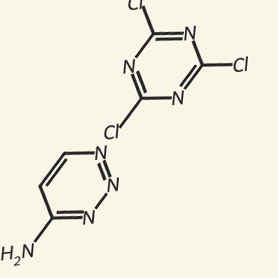 Clc1nc(Cl)nc(Cl)n1.Nc1ccnnn1